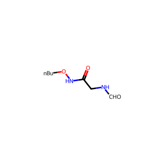 CCCCONC(=O)CNC=O